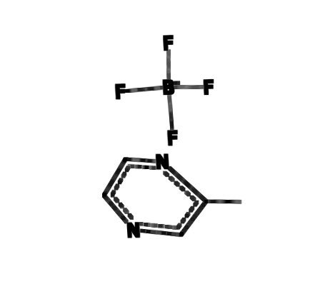 Cc1cnccn1.F[B-](F)(F)F